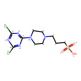 O=S(=O)(O)CCCN1CCN(c2nc(Cl)nc(Cl)n2)CC1